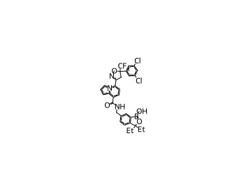 CCC1(CC)OB(O)c2cc(CNC(=O)c3ccc(C4=NOC(c5cc(Cl)cc(Cl)c5)(C(F)(F)F)C4)n4cccc34)ccc21